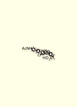 CC(=O)NC1CCN(c2ccc(-c3nc4nc(O[C@H]5CC[C@H](C(C)(C)C(=O)O)CC5)[nH]c4cc3Cl)cc2)CC1